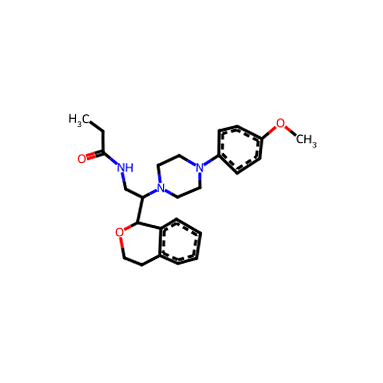 CCC(=O)NCC(C1OCCc2ccccc21)N1CCN(c2ccc(OC)cc2)CC1